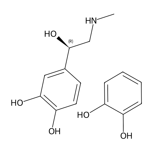 CNC[C@H](O)c1ccc(O)c(O)c1.Oc1ccccc1O